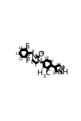 Cc1cc(N2CCN(Cc3c(F)cccc3F)C2=O)ccc1-c1cn[nH]c1